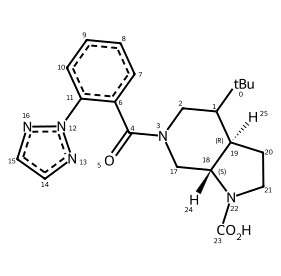 CC(C)(C)C1CN(C(=O)c2ccccc2-n2nccn2)C[C@@H]2[C@@H]1CCN2C(=O)O